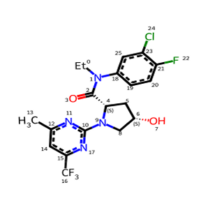 CCN(C(=O)[C@@H]1C[C@H](O)CN1c1nc(C)cc(C(F)(F)F)n1)c1ccc(F)c(Cl)c1